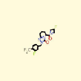 O=C(C1CCCc2nn(Cc3ccc(C(F)(F)F)c(F)c3)c(=O)n21)N1CC(F)C1